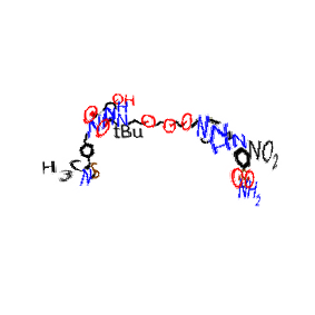 Cc1ncsc1-c1ccc(CNC(=O)[C@@H]2C[C@@H](O)CN2C(=O)[C@@H](NCCCOCCOCCOCCN2CCN(CCNc3ccc(S(N)(=O)=O)cc3[N+](=O)[O-])CC2)C(C)(C)C)cc1